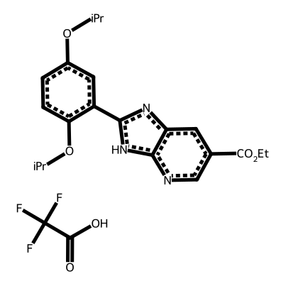 CCOC(=O)c1cnc2[nH]c(-c3cc(OC(C)C)ccc3OC(C)C)nc2c1.O=C(O)C(F)(F)F